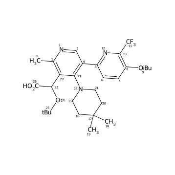 Cc1ncc(-c2ccc(OCC(C)C)c(C(F)(F)F)n2)c(N2CCC(C)(C)CC2)c1C(OC(C)(C)C)C(=O)O